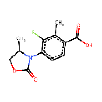 Cc1c(C(=O)O)ccc(N2C(=O)OCC2C)c1F